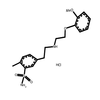 COc1ccccc1OCCNCCc1ccc(C)c(S(N)(=O)=O)c1.Cl